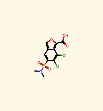 CN(C)S(=O)(=O)c1cc2coc(C(=O)O)c2c(Cl)c1Cl